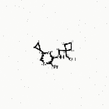 CC(C)c1ncc(C2CC2)nc1NCC1(CO)CCC1